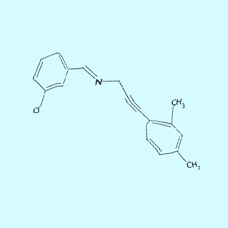 Cc1ccc(C#CCN=Cc2cccc(Cl)c2)c(C)c1